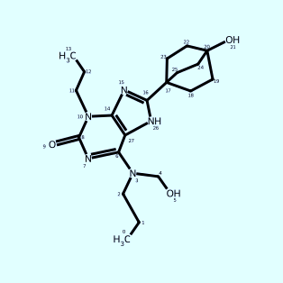 CCCN(CO)c1nc(=O)n(CCC)c2nc(C34CCC(O)(CC3)CC4)[nH]c12